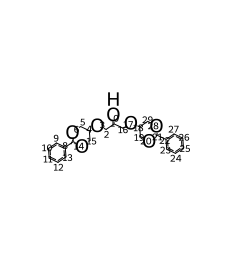 OC(COC1COC(c2ccccc2)OC1)COC1COC(c2ccccc2)OC1